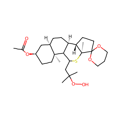 CC(=O)O[C@@H]1CC[C@]2(C)C3C(CC(C)(C)OO)S[C@@]4(C)[C@@H](CCC45OCCCO5)[C@@H]3CC[C@@H]2C1